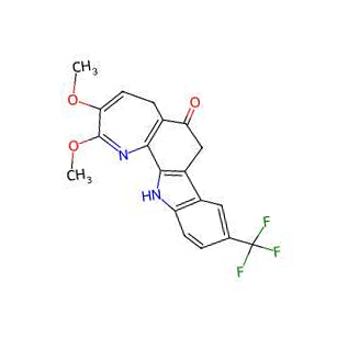 COC1=CCC2=C(N=C1OC)c1[nH]c3ccc(C(F)(F)F)cc3c1CC2=O